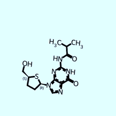 CC(C)C(=O)Nc1nc2c(ncn2[C@H]2CC[C@@H](CO)S2)c(=O)[nH]1